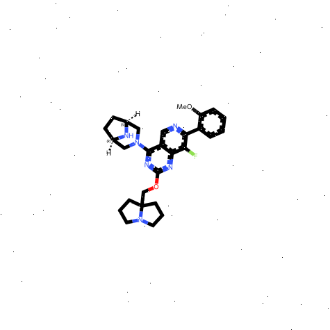 COc1ccccc1-c1ncc2c(N3C[C@H]4CC[C@@H](C3)N4)nc(OCC34CCCN3CCC4)nc2c1F